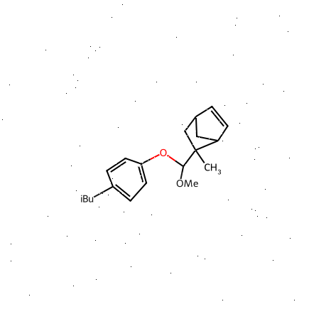 CCC(C)c1ccc(OC(OC)C2(C)CC3C=CC2C3)cc1